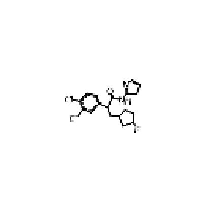 O=C(NC1=NC=CC1)C(CC1CCC(F)C1)c1ccc(Cl)c(Cl)c1